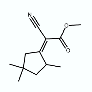 COC(=O)/C(C#N)=C1/CC(C)(C)CC1C